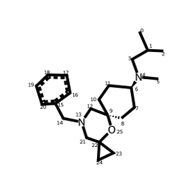 CC(C)CN(C)[C@H]1CC[C@@]2(CC1)CN(Cc1ccccc1)CC1(CC1)O2